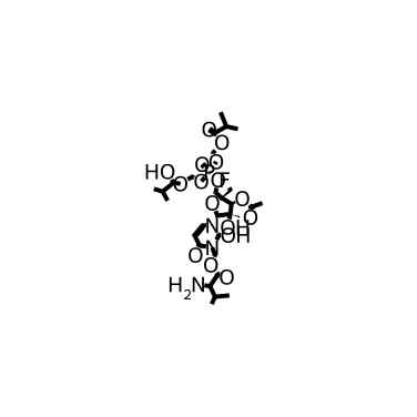 CC(=O)O[C@@H]1[C@@](CF)(COP(=O)(OCOC(=O)C(C)C)OCOC(O)C(C)C)O[C@@H](N2C=CC(=O)N(COC(=O)C(N)C(C)C)C2O)[C@]1(C)O